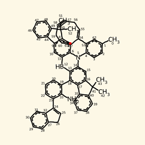 Cc1ccc(N2c3cc4c(cc3Bc3c2cc2c(c3-c3cccc(C5=CCc6ccccc65)c3N)-c3ccccc3C2(C)C)-c2ccccc2C4(C)C)c(C2=C/CC#CC/C=C\2)c1